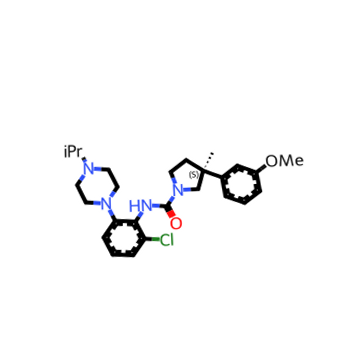 COc1cccc([C@]2(C)CCN(C(=O)Nc3c(Cl)cccc3N3CCN(C(C)C)CC3)C2)c1